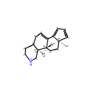 C[C@@]12C=CC=C1C1=CCC3CCNC[C@@H]3[C@H]1CC2